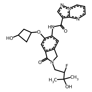 CC(C)(O)C(F)CN1Cc2cc(NC(=O)c3cnn4cccnc34)c(OC3CC(O)C3)cc2C1=O